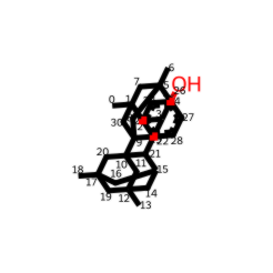 CC12CC3CC(C)(C1)CC(C14CC5(C)CC(CC(C)(C5)C1)C4c1ccc(O)cc1)(C3)C2